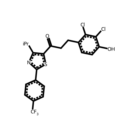 CC(C)c1nc(-c2ccc(C(F)(F)F)cc2)sc1C(=O)CCc1ccc(O)c(Cl)c1Cl